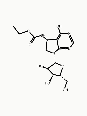 CCOC(=O)BN1CN([C@@H]2O[C@H](CO)[C@@H](O)[C@H]2O)c2ncnc(O)c21